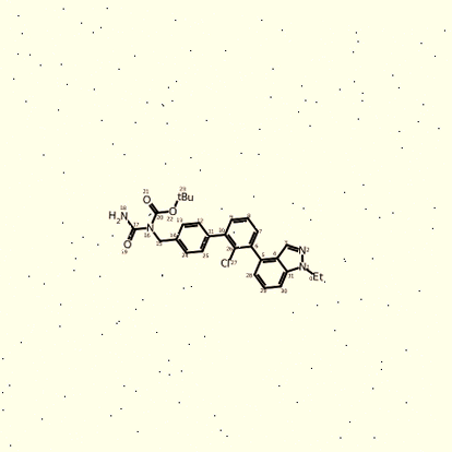 CCn1ncc2c(-c3cccc(-c4ccc(CN(C(N)=O)C(=O)OC(C)(C)C)cc4)c3Cl)cccc21